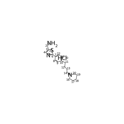 Cl.NCc1cnc(-c2ccc(CCCCN3CCCCC3)cc2)s1